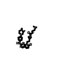 C[C@H]1CN(c2ccc(Nc3ncc4ccc(=O)n(CCC5CN(C(=O)/C=C/CN(C)C)C5)c4n3)cc2)CCN1C